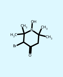 CC1(C)CC(=O)C(Br)C(C)(C)N1O